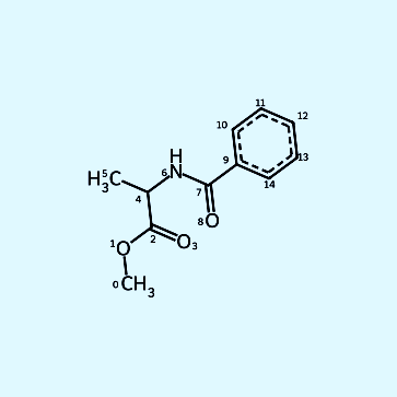 COC(=O)C(C)NC(=O)c1ccccc1